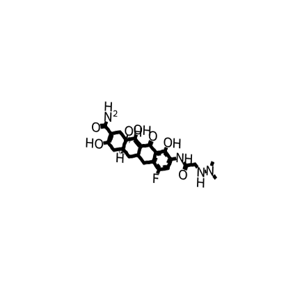 CN(C)NCC(=O)Nc1cc(F)c2c(c1O)C(=O)C1=C(O)[C@]3(O)CC(C(N)=O)=C(O)C[C@@H]3CC1C2